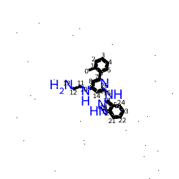 Cc1ccccc1-c1cc(NCCN)cc(Nc2n[nH]c3ccccc23)n1